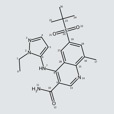 CCn1nccc1Nc1c(C(N)=O)cnc2c(C)cc(S(=O)(=O)C(C)(C)C)cc12